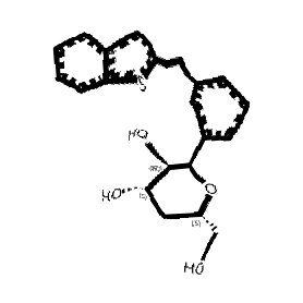 OC[C@@H]1C[C@H](O)[C@@H](O)C(c2cccc(Cc3cc4ccccc4s3)c2)O1